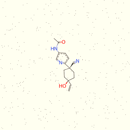 C=C[C@]1(O)CC[C@](C#N)(c2ccc(NC(C)=O)cn2)CC1